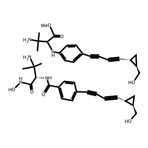 CC(C)(N)[C@H](NC(=O)c1ccc(C#CC#C[C@@H]2C[C@H]2CO)cc1)C(=O)NO.COC(=O)C(Nc1ccc(C#CC#C[C@@H]2C[C@H]2CO)cc1)C(C)(C)N